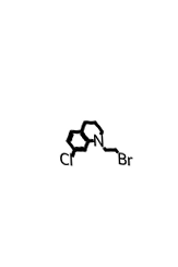 Clc1ccc2c(c1)N(CCBr)CCC2